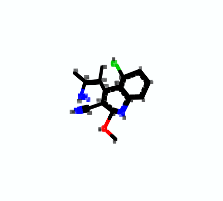 COc1nc2cccc(Cl)c2c(C(C)=C(C)N)c1C#N